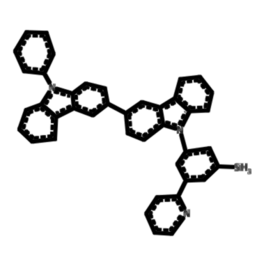 [SiH3]c1cc(-c2ccccn2)cc(-n2c3ccccc3c3cc(-c4ccc5c(c4)c4ccccc4n5-c4ccccc4)ccc32)c1